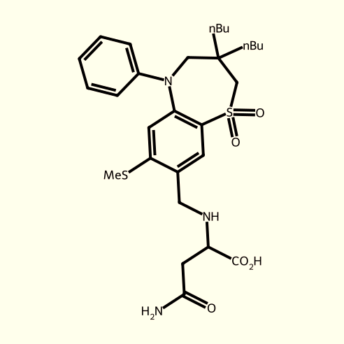 CCCCC1(CCCC)CN(c2ccccc2)c2cc(SC)c(CNC(CC(N)=O)C(=O)O)cc2S(=O)(=O)C1